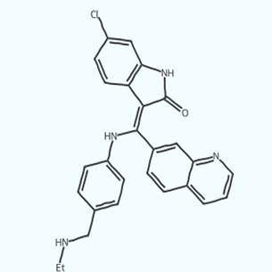 CCNCc1ccc(NC(=C2C(=O)Nc3cc(Cl)ccc32)c2ccc3cccnc3c2)cc1